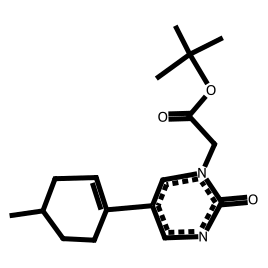 CC1CC=C(c2cnc(=O)n(CC(=O)OC(C)(C)C)c2)CC1